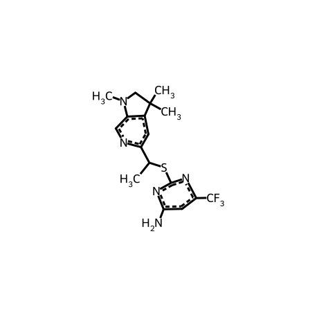 CC(Sc1nc(N)cc(C(F)(F)F)n1)c1cc2c(cn1)N(C)CC2(C)C